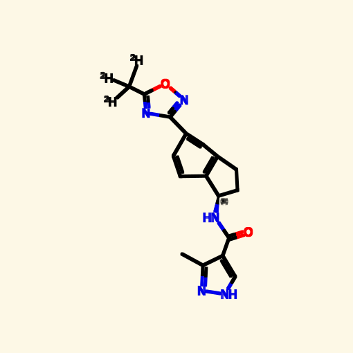 [2H]C([2H])([2H])c1nc(-c2ccc3c(c2)CC[C@H]3NC(=O)c2c[nH]nc2C)no1